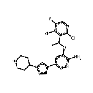 CC(Oc1cc(-c2cnn(C3CCNCC3)c2)nnc1N)c1c(Cl)ccc(F)c1Cl